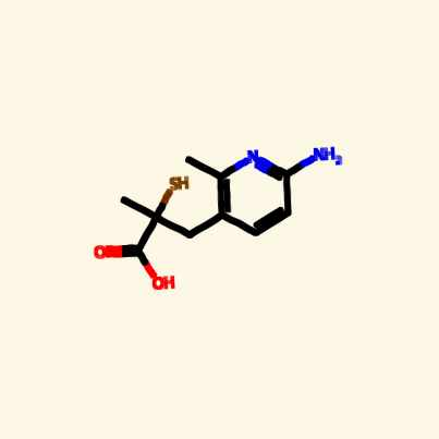 Cc1nc(N)ccc1CC(C)(S)C(=O)O